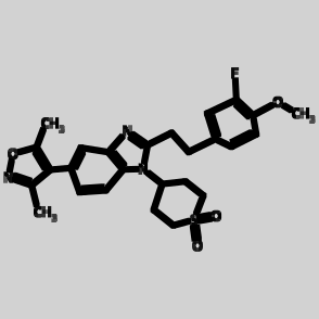 COc1ccc(CCc2nc3cc(-c4c(C)noc4C)ccc3n2C2CCS(=O)(=O)CC2)cc1F